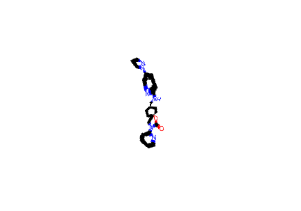 O=C1O[C@]2(CC[C@H](CNc3ccc(-n4cccn4)cn3)CC2)CN1c1ccccn1